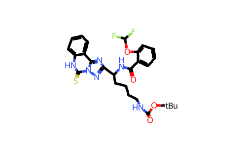 CC(C)(C)OC(=O)NCCCCC(NC(=O)c1ccccc1OC(F)F)c1nc2c3ccccc3[nH]c(=S)n2n1